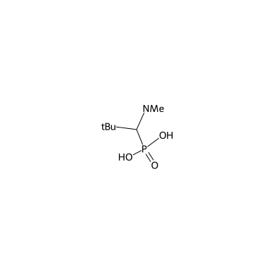 CNC(C(C)(C)C)P(=O)(O)O